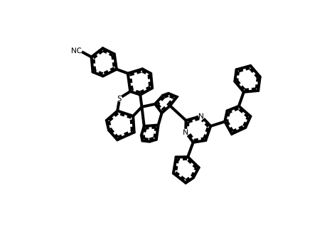 N#Cc1ccc(-c2cccc3c2Sc2ccccc2C32c3ccccc3-c3c(-c4nc(-c5ccccc5)cc(-c5cccc(-c6ccccc6)c5)n4)cccc32)cc1